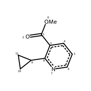 COC(=O)c1cccnc1C1CC1